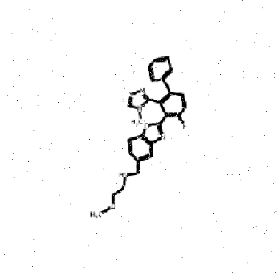 COCCNCc1ccc2oc(-c3c(F)ccc(-c4ccccc4)c3-c3nncn3C)nc2c1